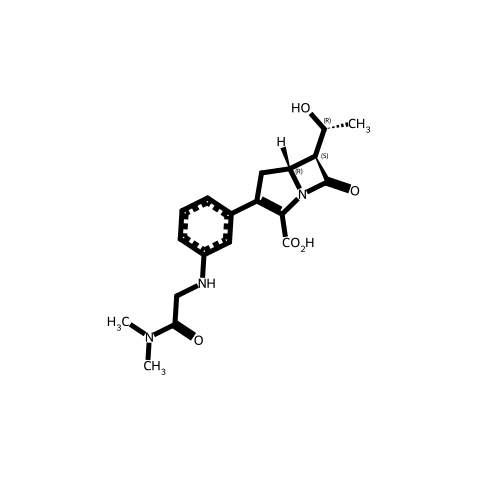 C[C@@H](O)[C@H]1C(=O)N2C(C(=O)O)=C(c3cccc(NCC(=O)N(C)C)c3)C[C@H]12